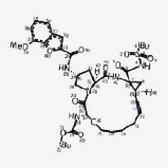 CCC(C)S(=O)(=O)NC(=O)[C@@]12C[C@H]1/C=C\CCCCC[C@H](NC(=O)OC(C)(C)C)C(=O)N1C[C@H](NC(=O)c3cc4cccc(OC)c4o3)C[C@H]1C(=O)N2